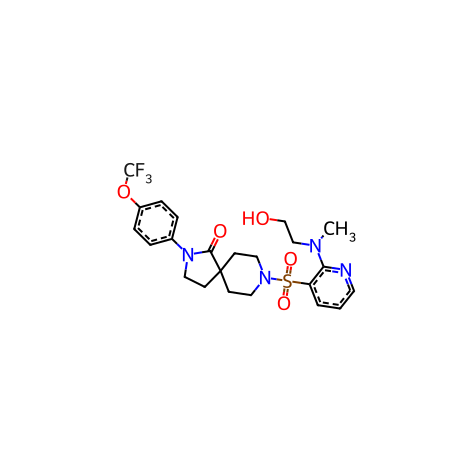 CN(CCO)c1ncccc1S(=O)(=O)N1CCC2(CCN(c3ccc(OC(F)(F)F)cc3)C2=O)CC1